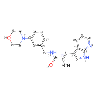 N#C/C(=C\c1c[nH]c2ncccc12)C(=O)NCc1cccc(N2CCOCC2)c1